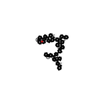 c1ccc2c(c1)B1c3cc(-c4ccc5c(c4)oc4c(N6c7ccccc7B7c8cc(-c9cccc%10c9sc9cccc(N%11c%12ccccc%12B%12c%13ccccc%13N(c%13cccc%14oc%15ccccc%15c%13%14)c%13cccc%11c%13%12)c9%10)ccc8N(c8cccc9c8sc8ccccc89)c8cccc6c87)cccc45)ccc3N(c3ccc4c(c3)oc3ccccc34)c3cccc(c31)N2c1ccc2c(c1)sc1ccccc12